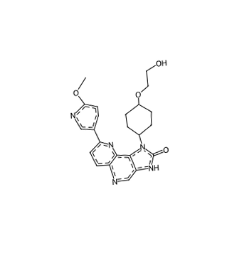 COc1ccc(-c2ccc3ncc4[nH]c(=O)n(C5CCC(OCCO)CC5)c4c3n2)cn1